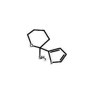 [SiH3]C1(c2cccs2)CCCCO1